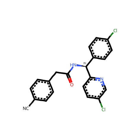 N#Cc1ccc(CC(=O)N[C@@H](c2ccc(Cl)cc2)c2ccc(Cl)cn2)cc1